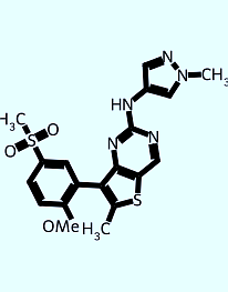 COc1ccc(S(C)(=O)=O)cc1-c1c(C)sc2cnc(Nc3cnn(C)c3)nc12